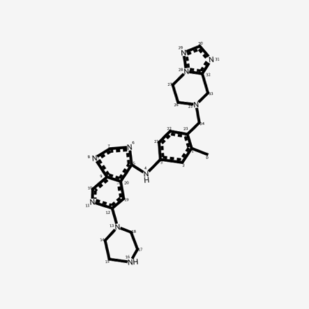 Cc1cc(Nc2ncnc3cnc(N4CCNCC4)cc23)ccc1CN1CCn2ncnc2C1